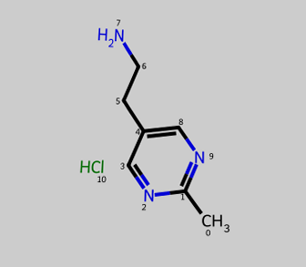 Cc1ncc(CCN)cn1.Cl